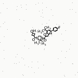 CC(C)c1cc(-c2ccc(F)cc2)nc2cc(C(=O)N3CCN(C(=O)C4CC(O)C4)CC3(C)C)oc12